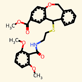 COC(=O)c1ccc2c(c1)C(SCCNC(=O)c1c(OC)cccc1OC)c1ccccc1CO2